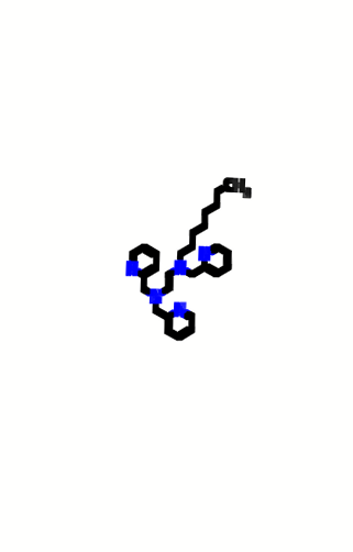 CCCCCCCCN(C=CN(Cc1ccccn1)Cc1ccccn1)Cc1ccccn1